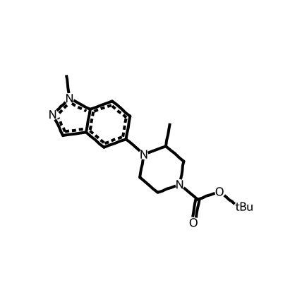 CC1CN(C(=O)OC(C)(C)C)CCN1c1ccc2c(cnn2C)c1